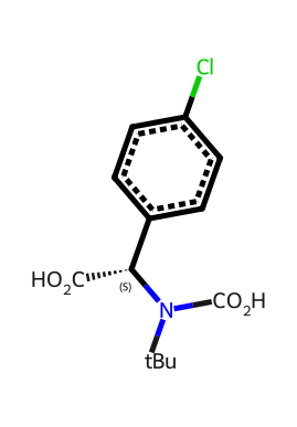 CC(C)(C)N(C(=O)O)[C@H](C(=O)O)c1ccc(Cl)cc1